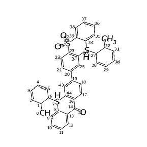 CC1C=CC=CC1[SH]1c2ccccc2C(=O)c2ccc(-c3ccc4c(c3)[SH](C3C=CC=CC3C)c3ccccc3S4(=O)=O)cc21